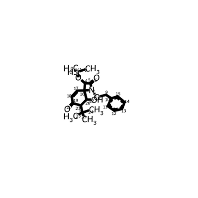 C[SiH](C)OC1C(=O)N(OCc2ccccc2)C12C=CC(=O)C(C(C)(C)C)C2O